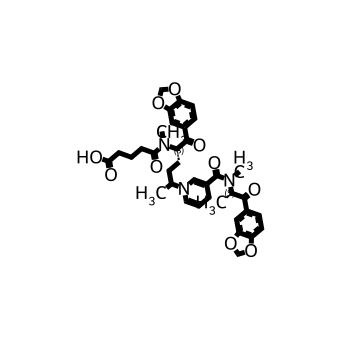 CC(CC[C@@H](C(=O)c1ccc2c(c1)OCO2)N(C)C(=O)CCCC(=O)O)N1C=CCC(C(=O)N(C)[C@@H](C)C(=O)c2ccc3c(c2)OCO3)=C1